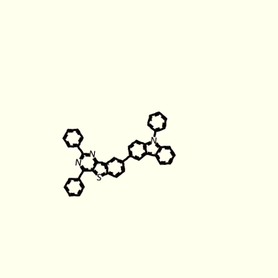 c1ccc(-c2nc(-c3ccccc3)c3sc4ccc(-c5ccc6c(c5)c5ccccc5n6-c5ccccc5)cc4c3n2)cc1